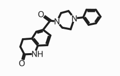 O=C1CCc2cc(C(=O)N3CCN(c4ccccc4)CC3)ccc2N1